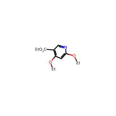 CCOC(=O)c1cnc(OCC)cc1OCC